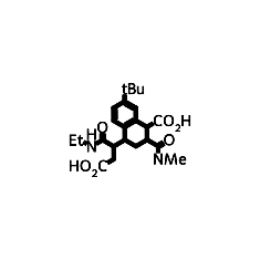 CCNC(=O)C(CC(=O)O)C1CC(C(=O)NC)C(C(=O)O)c2cc(C(C)(C)C)ccc21